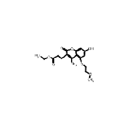 CCOC(=O)CCc1c(C)c2c(OCCOC)cc(O)cc2oc1=O